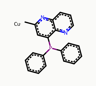 Cc1cc(P(c2ccccc2)c2ccccc2)c2ncccc2n1.[Cu]